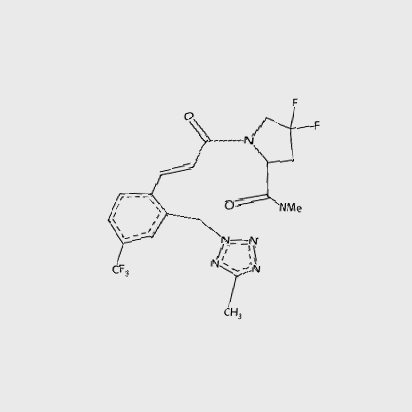 CNC(=O)C1CC(F)(F)CN1C(=O)C=Cc1ccc(C(F)(F)F)cc1Cn1nnc(C)n1